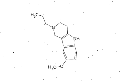 CCCN1CCc2[nH]c3ccc(OC)cc3c2C1